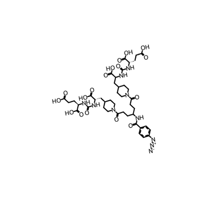 [N-]=[N+]=Nc1ccc(C(=O)NC(CCC(=O)N2CCC(CC(NC(=O)N[C@@H](CCC(=O)O)C(=O)O)C(=O)O)CC2)CCC(=O)N2CCC(C[C@H](NC(=O)N[C@H](CCC(=O)O)C(=O)O)C(=O)O)CC2)cc1